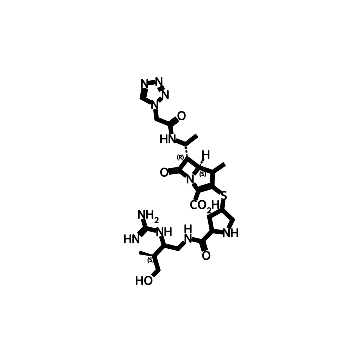 CC(NC(=O)Cn1cnnn1)[C@H]1C(=O)N2C(C(=O)O)=C(SC3CNC(C(=O)NCC(NC(=N)N)[C@H](C)CO)C3)C(C)[C@H]12